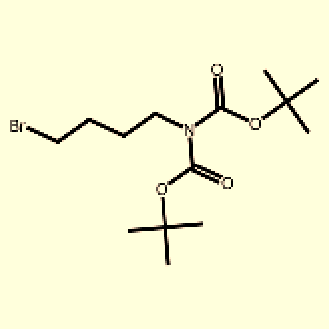 CC(C)(C)OC(=O)N(CCCCBr)C(=O)OC(C)(C)C